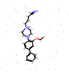 CCOc1cc(-c2ccccc2)ccc1N1CCN(CCCC#N)CC1